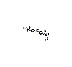 N#C/C(=C\c1ccc(N2CCN(c3ccc(/C=C(\C#N)C(=O)OCC4CO4)cc3)C2)cc1)C(=O)O